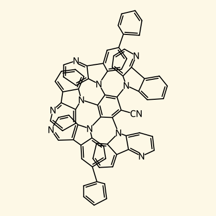 N#Cc1c(-n2c3ccccc3c3ncccc32)c(-n2c3ccncc3c3cc(-c4ccccc4)ccc32)c(-n2c3ccccc3c3ncccc32)c(-n2c3ccc(-c4ccccc4)cc3c3ncccc32)c1-n1c2ccccc2c2ncccc21